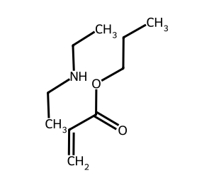 C=CC(=O)OCCC.CCNCC